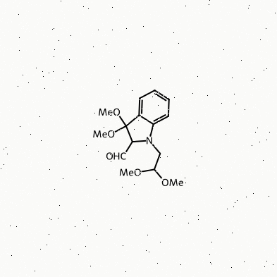 COC(CN1c2ccccc2C(OC)(OC)C1C=O)OC